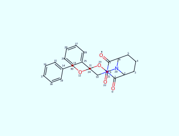 O=C1C2CCCC(C(=O)N1CCOCc1ccccc1)N2C(=O)OCc1ccccc1